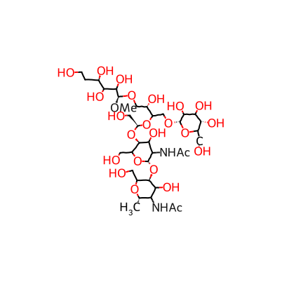 CO[C@H](OC[C@H](O)C(CO[C@H]1OC(CO)[C@@H](O)C(O)C1O)O[C@H](CO)O[C@@H]1C(CO)O[C@@H](O[C@@H]2C(CO)O[C@@H](C)C(NC(C)=O)C2O)C(NC(C)=O)C1O)C(O)C(O)[C@H](O)CCO